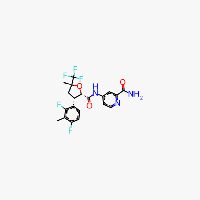 Cc1c(F)ccc([C@@H]2C[C@](C)(C(F)(F)F)O[C@@H]2C(=O)Nc2ccnc(C(N)=O)c2)c1F